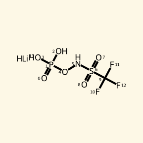 O=P(O)(O)ONS(=O)(=O)C(F)(F)F.[LiH]